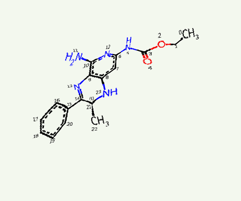 CCOC(=O)Nc1cc2c(c(N)n1)N=C(c1ccccc1)[C@H](C)N2